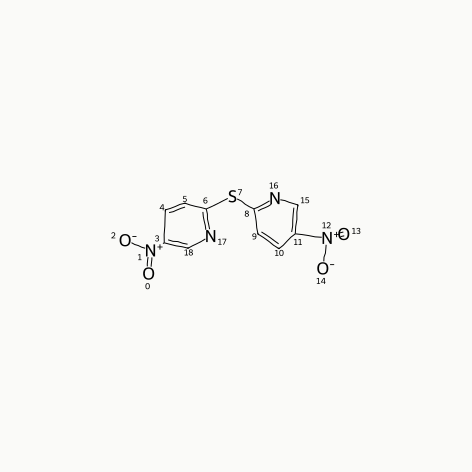 O=[N+]([O-])c1ccc(Sc2ccc([N+](=O)[O-])cn2)nc1